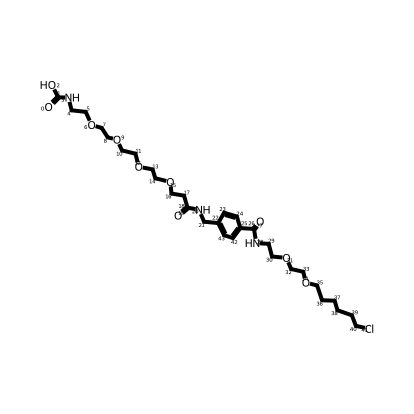 O=C(O)NCCOCCOCCOCCOCCC(=O)NCc1ccc(C(=O)NCCOCCOCCCCCCCl)cc1